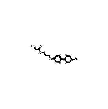 C=CC(=O)OCCCOc1ccc(C2CCC(O)CC2)cc1